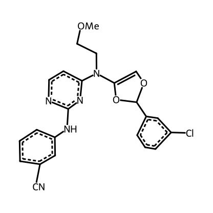 COCCN(C1=COC(c2cccc(Cl)c2)O1)c1ccnc(Nc2cccc(C#N)c2)n1